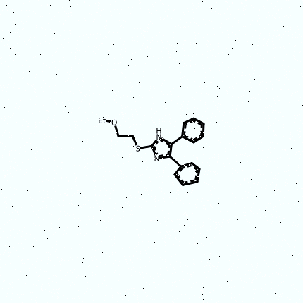 CCOCCSc1nc(-c2ccccc2)c(-c2ccccc2)[nH]1